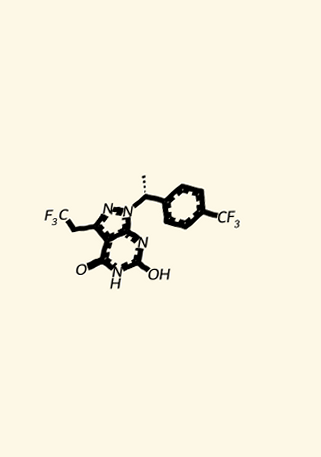 C[C@H](c1ccc(C(F)(F)F)cc1)n1nc(CC(F)(F)F)c2c(=O)[nH]c(O)nc21